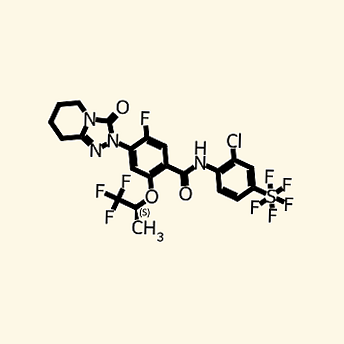 C[C@H](Oc1cc(-n2nc3n(c2=O)CCCC3)c(F)cc1C(=O)Nc1ccc(S(F)(F)(F)(F)F)cc1Cl)C(F)(F)F